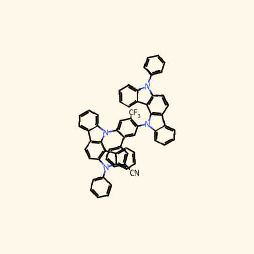 N#Cc1cccc(-c2cc(-n3c4ccccc4c4ccc5c(c6ccccc6n5-c5ccccc5)c43)c(C(F)(F)F)cc2-n2c3ccccc3c3ccc4c(c5ccccc5n4-c4ccccc4)c32)c1